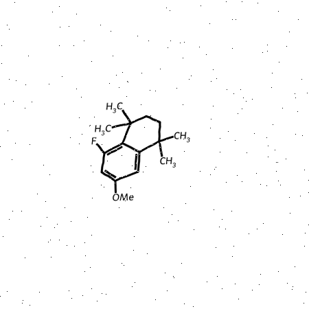 COc1cc(F)c2c(c1)C(C)(C)CCC2(C)C